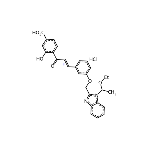 CCOC(C)n1c(COc2cccc(/C=C/C(=O)c3ccc(C(=O)O)cc3O)c2)nc2ccccc21.Cl